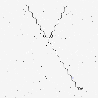 CCCCCCCCCCOC(CCCCCCCCCCC/C=C/CCO)OCCCCCCCCCC